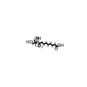 CC(CO)(CO)NC(=O)CCCCCCCC(=O)O